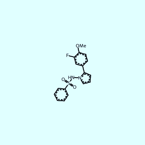 COc1ccc(-c2cccn2NS(=O)(=O)c2ccccc2)cc1F